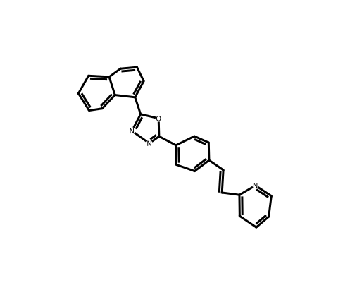 C(=Cc1ccccn1)c1ccc(-c2nnc(-c3cccc4ccccc34)o2)cc1